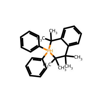 CC1(C)c2ccccc2C(C)(C)[PH](c2ccccc2)(c2ccccc2)C1(C)C